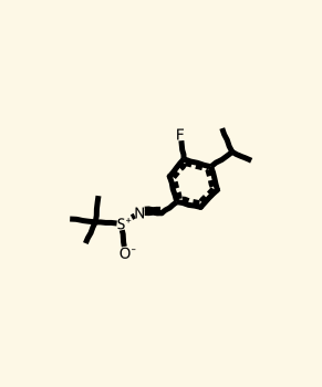 CC(C)c1ccc(C=N[S+]([O-])C(C)(C)C)cc1F